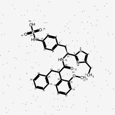 CCc1csc([C@H](Cc2ccc(NS(=O)(=O)O)cc2)NC(=O)C(Cc2ccccc2)c2ccccc2OC)n1